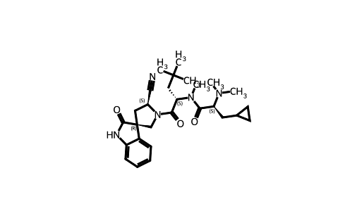 CN(C)[C@@H](CC1CC1)C(=O)N(C)[C@@H](CC(C)(C)C)C(=O)N1C[C@]2(C[C@H]1C#N)C(=O)Nc1ccccc12